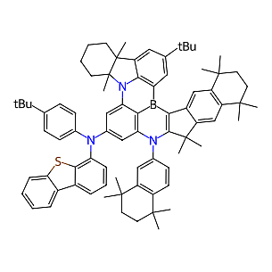 CC(C)(C)c1ccc(N(c2cc3c4c(c2)N2c5c(cc(C(C)(C)C)cc5C5(C)CCCCC25C)B4C2=C(N3c3ccc4c(c3)C(C)(C)CCC4(C)C)C(C)(C)c3cc4c(cc32)C(C)(C)CCC4(C)C)c2cccc3c2sc2ccccc23)cc1